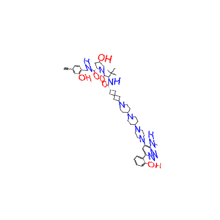 C#Cc1ccc(CNC(=O)[C@@H]2C[C@@H](O)CN2C(=O)[C@@H](NC(=O)[C@H]2CC3(C2)C[C@H](N2CCC(N4CCC(N5CCN(c6cc(-c7ccccc7O)nnc6NC)CC5)CC4)CC2)C3)C(C)(C)C)c(O)c1